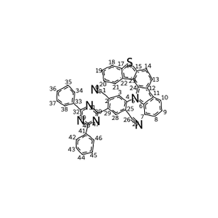 N#Cc1cc(-n2c3ccccc3c3ccc4sc5ccccc5c4c32)c(C#N)cc1-c1nc(-c2ccccc2)nc(-c2ccccc2)n1